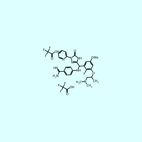 COc1cc(OC(C)CN(C)C)c(F)c(C(Nc2ccc(C(=N)N)cc2)c2nn(-c3ccccn3)c(=O)[nH]2)c1.O=C(O)C(F)(F)F.O=C(O)C(F)(F)F